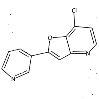 Clc1ccnc2cc(-c3cccnc3)oc12